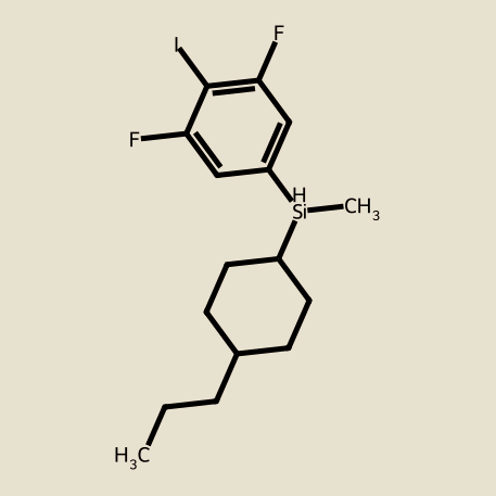 CCCC1CCC([SiH](C)c2cc(F)c(I)c(F)c2)CC1